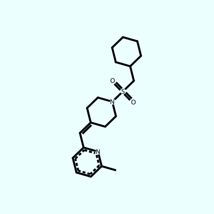 Cc1cccc(C=C2CCN(S(=O)(=O)CC3CCCCC3)CC2)n1